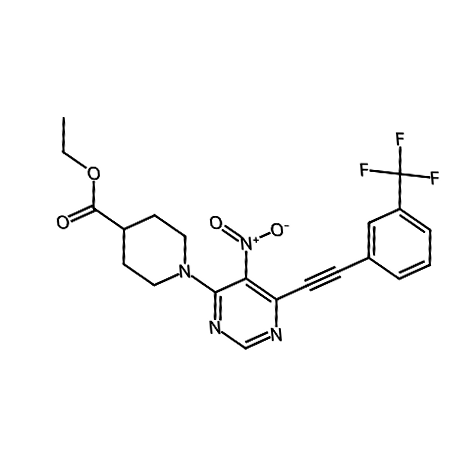 CCOC(=O)C1CCN(c2ncnc(C#Cc3cccc(C(F)(F)F)c3)c2[N+](=O)[O-])CC1